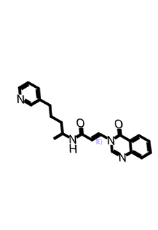 CC(CCCc1cccnc1)NC(=O)/C=C/n1cnc2ccccc2c1=O